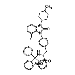 COC(=O)C(Cc1ccc(-n2c(=O)n(C3CCN(C)CC3)c3cccc(Cl)c32)cc1)NC(c1ccccc1)(c1ccccc1)c1ccccc1